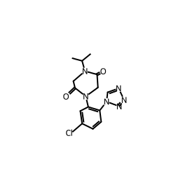 CC(C)N1CC(=O)N(c2cc(Cl)ccc2-n2cnnn2)CC1=O